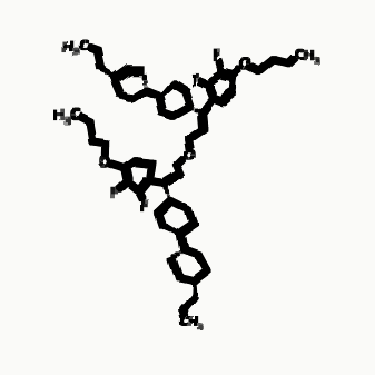 CCCCOc1ccc(C(=CCOCC=C(c2ccc(OCCCC)c(F)c2F)[C@H]2CC[C@H]([C@H]3CC[C@H](CCC)CC3)CC2)[C@H]2CC[C@H]([C@H]3CC[C@H](CCC)CC3)CC2)c(F)c1F